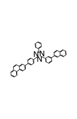 c1ccc(-c2nc(-c3ccc(-c4ccc5c(ccc6ccccc65)c4)cc3)nc(-c3cccc(-c4ccc5ccccc5c4)c3)n2)cc1